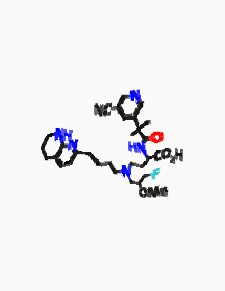 COC(CF)CN(CCCCc1ccc2c(n1)NCCC2)CCC(NC(=O)C(C)(C)c1cncc(C#N)c1)C(=O)O